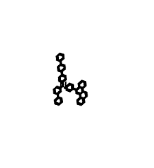 c1ccc(-c2ccc(-c3ccc(N(c4ccc(-c5cc6c7ccccc7ccc6c6ccccc56)cc4)c4cccc(-c5ccccc5)c4)cc3)cc2)cc1